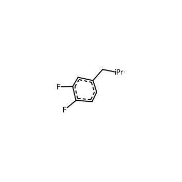 C[C](C)Cc1ccc(F)c(F)c1